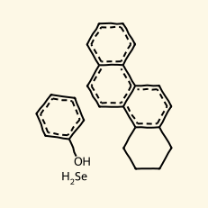 Oc1ccccc1.[SeH2].c1ccc2c(c1)ccc1c3c(ccc12)CCCC3